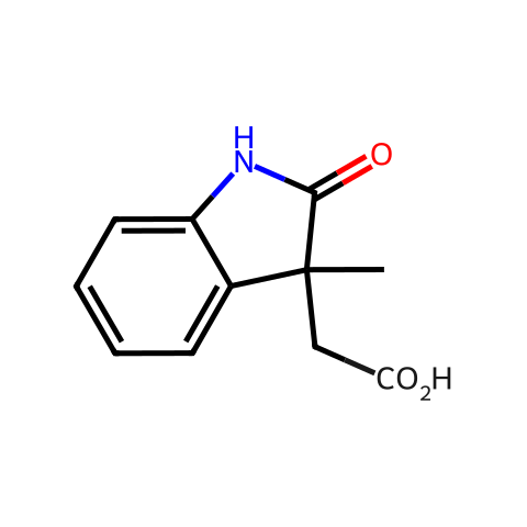 CC1(CC(=O)O)C(=O)Nc2ccccc21